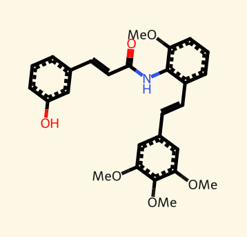 COc1cccc(C=Cc2cc(OC)c(OC)c(OC)c2)c1NC(=O)/C=C/c1cccc(O)c1